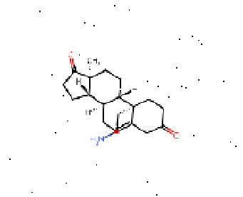 C[C@]12CC[C@H]3[C@@H](CC=C4CC(=O)CC[C@@]43CCN)[C@@H]1CCC2=O